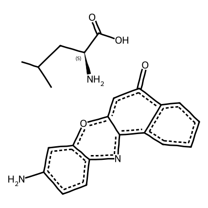 CC(C)C[C@H](N)C(=O)O.Nc1ccc2nc3c4ccccc4c(=O)cc-3oc2c1